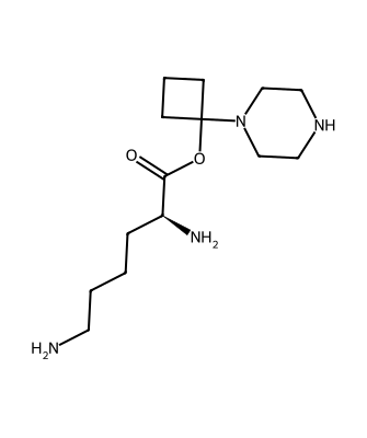 NCCCC[C@H](N)C(=O)OC1(N2CCNCC2)CCC1